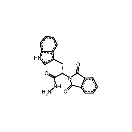 NNC(=O)[C@H](Cc1c[nH]c2ccccc12)N1C(=O)c2ccccc2C1=O